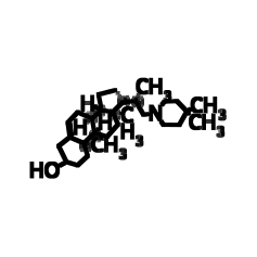 C[C@H](CN1CCC(C)(C)CC1)[C@H]1CC[C@H]2[C@@H]3CC=C4CC(O)CC[C@]4(C)[C@H]3CC[C@]12C